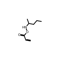 C=CC(=O)ONC(C)CCC